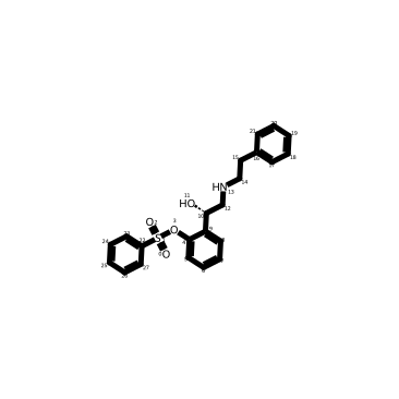 O=S(=O)(Oc1ccccc1[C@H](O)CNCCc1ccccc1)c1ccccc1